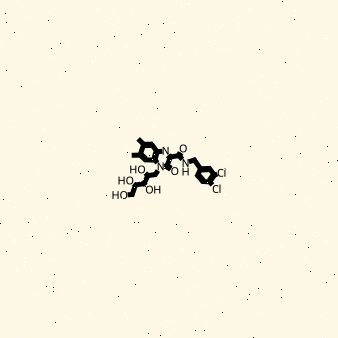 Cc1cc2nc(C(=O)NCc3ccc(Cl)c(Cl)c3)c(=O)n(CC(O)C(O)C(O)CO)c2cc1C